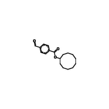 O=Cc1ccc(C(=O)OC2CCCCCCCCC2)cc1